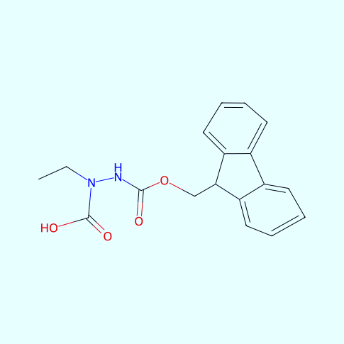 CCN(NC(=O)OCC1c2ccccc2-c2ccccc21)C(=O)O